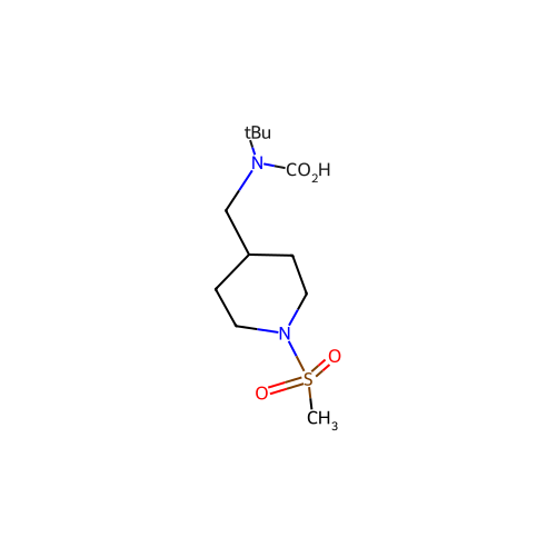 CC(C)(C)N(CC1CCN(S(C)(=O)=O)CC1)C(=O)O